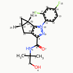 CC(C)(CO)NC(=O)c1nn(-c2ccc(F)cc2F)c2c1C[C@@H]1C[C@H]21